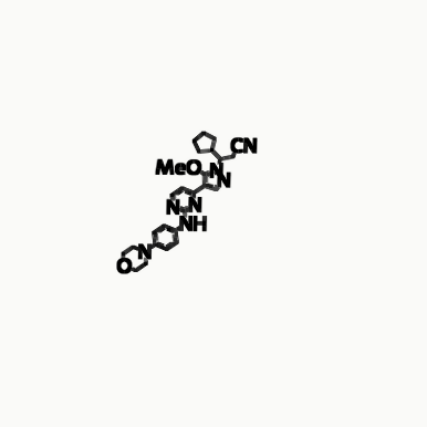 COc1c(-c2ccnc(Nc3ccc(N4CCOCC4)cc3)n2)cnn1C(CC#N)C1CCCC1